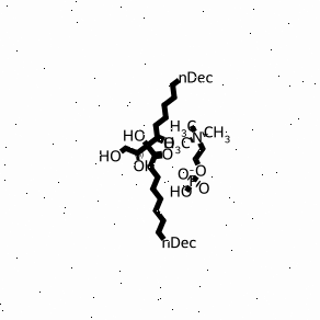 CCCCCCCCCCCCCCCCCC(=O)C(O)(C(=O)CCCCCCCCCCCCCCC)[C@@H](O)CO.C[N+](C)(C)CCOP(=O)([O-])O